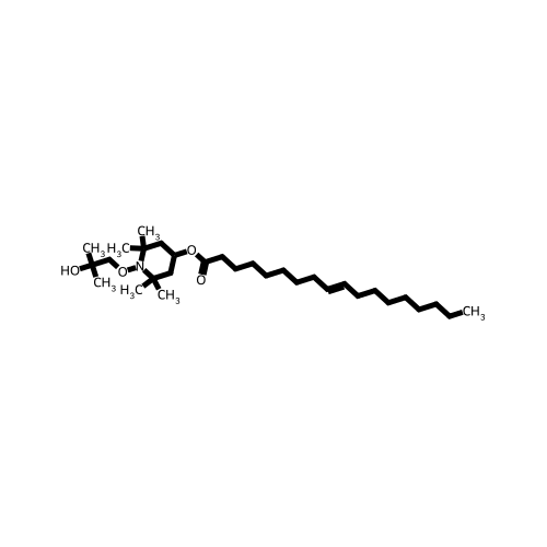 CCCCCCCCC=CCCCCCCCC(=O)OC1CC(C)(C)N(OCC(C)(C)O)C(C)(C)C1